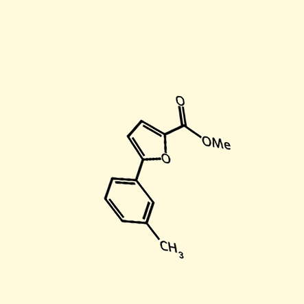 COC(=O)c1ccc(-c2cccc(C)c2)o1